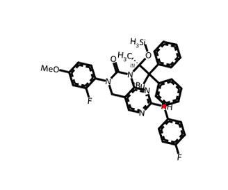 COc1ccc(N2Cc3cnc(Nc4ccc(F)cc4)nc3N([C@@](C)(O[SiH3])C(c3ccccc3)(c3ccccc3)C(C)(C)C)C2=O)c(F)c1